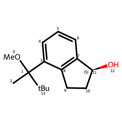 COC(C)(c1cccc2c1CC[C@@H]2O)C(C)(C)C